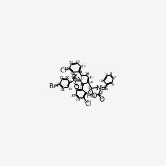 O=C(N[C@@H](Cc1ccccc1)C(=O)O)C1=CCC(c2cccc(Cl)c2)N(S(=O)(=O)c2ccc(Br)cc2)C1c1cccc(Cl)c1